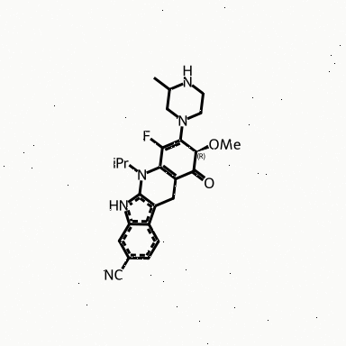 CO[C@H]1C(=O)C2=C(C(F)=C1N1CCNC(C)C1)N(C(C)C)c1[nH]c3cc(C#N)ccc3c1C2